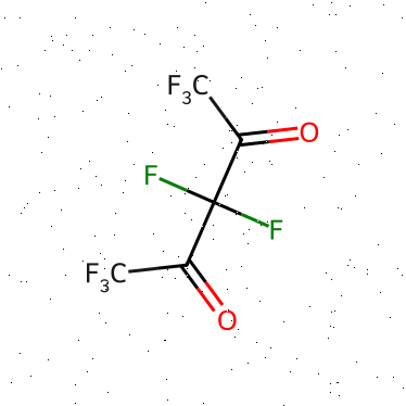 O=C(C(F)(F)F)C(F)(F)C(=O)C(F)(F)F